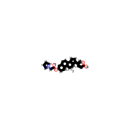 CC12CCC3C(CCC4CC(OC(=O)CN5CCCC5)CCC43C)C1=CCC2c1ccc(=O)oc1